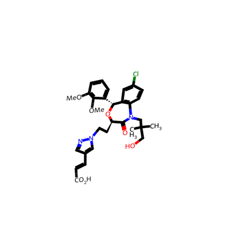 COc1cccc([C@H]2O[C@H](CCn3cc(/C=C/C(=O)O)cn3)C(=O)N(CC(C)(C)CO)c3ccc(Cl)cc32)c1OC